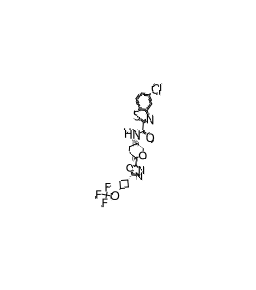 O=C(N[C@H]1CC[C@H](c2nnc([C@H]3C[C@@H](OC(F)(F)F)C3)o2)OC1)c1nc2cc(Cl)ccc2s1